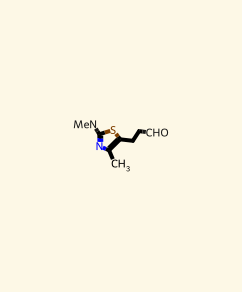 CNc1nc(C)c(CCC=O)s1